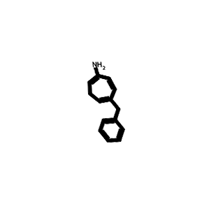 NC1=CCC=C(Cc2ccccc2)C=C1